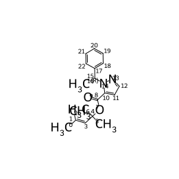 CC(C)=CC(C)(C)OC(=O)c1ccnn1[C@H](C)c1ccccc1